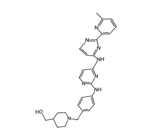 Cc1cccc(-c2nccc(Nc3ccnc(Nc4ccc(CN5CCC(CO)CC5)cc4)n3)n2)n1